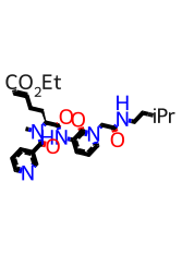 CCOC(=O)/C=C/CC[C@@H](C(=O)Nc1cccn(CC(=O)NCCC(C)C)c1=O)N(C)C(=O)c1cccnc1